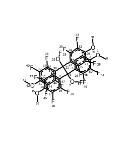 COc1ccc(C(OF)(c2c(F)c(F)c(OC)c(F)c2F)C(OF)(c2c(F)c(F)c(OC)c(F)c2F)c2c(F)c(F)c(OC)c(F)c2F)c(F)c1F